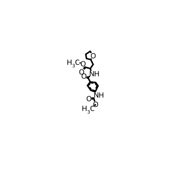 COC(=O)Nc1ccc(C(=O)NC(CC2CCCO2)C(=O)OC)cc1